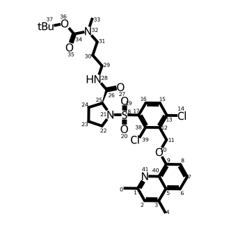 Cc1cc(C)c2cccc(OCc3c(Cl)ccc(S(=O)(=O)N4CCC[C@H]4C(=O)NCCCN(C)C(=O)OC(C)(C)C)c3Cl)c2n1